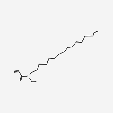 C=CC(=O)N(CC)CCCCCCCCCCCCCCCC